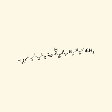 CCCCCCCC=CPC=CCCCCCCC